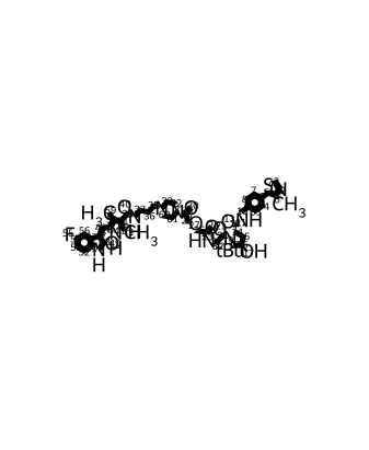 Cc1ncsc1-c1ccc(CNC(=O)[C@@H]2C[C@@H](O)CN2C(=O)[C@@H](NC(=O)COCC(=O)N2CCN(CCCNC(=O)c3c(C)[nH]c(/C=C4\C(=O)Nc5ccc(F)cc54)c3C)CC2)C(C)(C)C)cc1